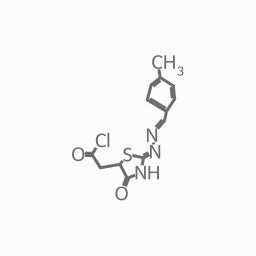 Cc1ccc(C=NN=C2NC(=O)C(CC(=O)Cl)S2)cc1